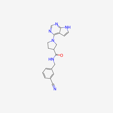 N#Cc1cccc(CNC(=O)C2CCN(c3ncnc4[nH]ccc34)C2)c1